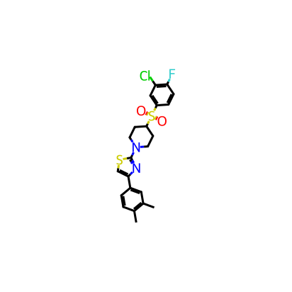 Cc1ccc(-c2csc(N3CCC(S(=O)(=O)c4ccc(F)c(Cl)c4)CC3)n2)cc1C